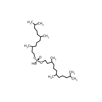 CC(C)CCCC(C)CCCC(C)CCOP(=O)(O)OCCC(C)CCCC(C)CCCC(C)C